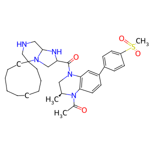 CC(=O)N1c2ccc(-c3ccc(S(C)(=O)=O)cc3)cc2N(C(=O)C2CN3C(CNCC34CCCCCCCCC4)N2)C[C@@H]1C